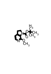 COc1nccc2c1N(C(=O)OC(C)(C)C)CC2